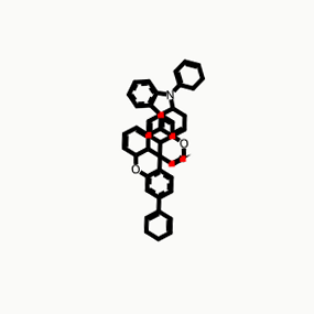 C1=CCCC(N2c3ccccc3C3=C(C4=CC=CC5Oc6cc(C7=CCCC=C7)ccc6C6(C7CCCC=C7OC7C=CC=CC76)C45)C=CCC32)=C1